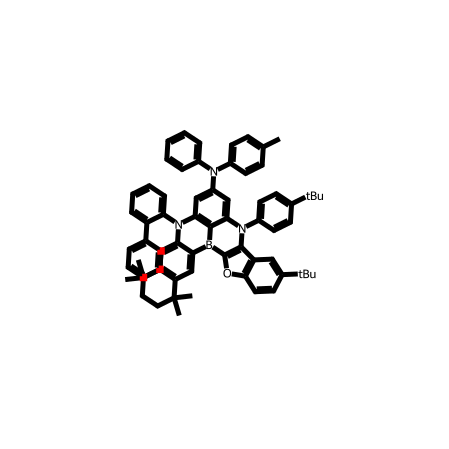 Cc1ccc(N(c2ccccc2)c2cc3c4c(c2)N(c2ccc(C(C)(C)C)cc2)c2c(oc5ccc(C(C)(C)C)cc25)B4c2cc4c(cc2N3c2ccccc2-c2ccccc2)C(C)(C)CCC4(C)C)cc1